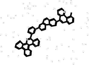 Cc1cccc2cc(-c3ccc4c(ccc5cc(-c6cccc(-c7nc8c9ccccc9c9ccccc9c8c8ccccc78)c6)ccc54)c3)c3cccnc3c12